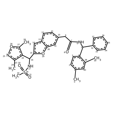 Cc1ccc(C(NC(=O)Cc2ccc3cc(C(NS(C)(=O)=O)c4c(C)noc4C)oc3c2)c2ccccc2)c(C)c1